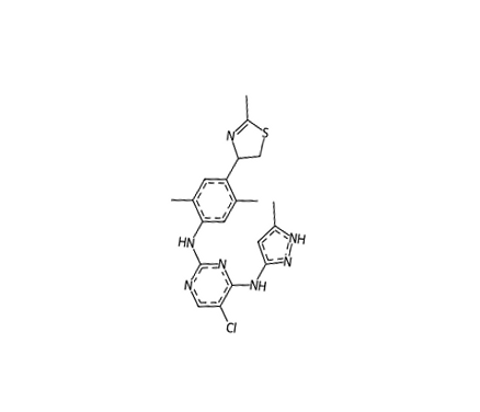 CC1=NC(c2cc(C)c(Nc3ncc(Cl)c(Nc4cc(C)[nH]n4)n3)cc2C)CS1